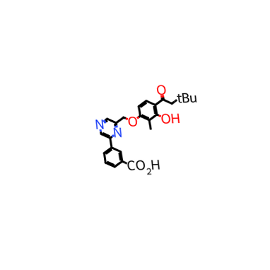 Cc1c(OCc2cncc(-c3cccc(C(=O)O)c3)n2)ccc(C(=O)CC(C)(C)C)c1O